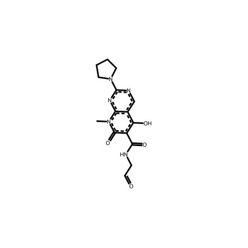 Cn1c(=O)c(C(=O)NCC=O)c(O)c2cnc(N3CCCC3)nc21